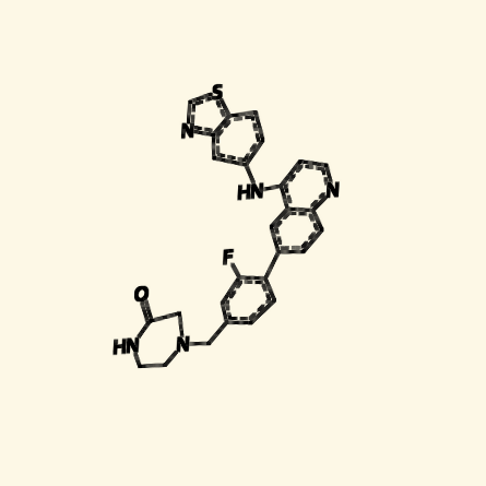 O=C1CN(Cc2ccc(-c3ccc4nccc(Nc5ccc6scnc6c5)c4c3)c(F)c2)CCN1